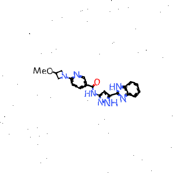 COC1CN(c2ccc(C(=O)Nc3cc(-c4nc5ccccc5[nH]4)[nH]n3)cn2)C1